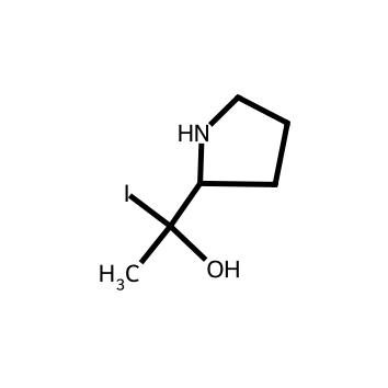 CC(O)(I)C1CCCN1